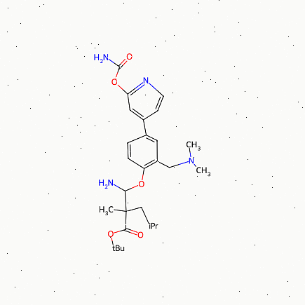 CC(C)CC(C)(C(=O)OC(C)(C)C)C(N)Oc1ccc(-c2ccnc(OC(N)=O)c2)cc1CN(C)C